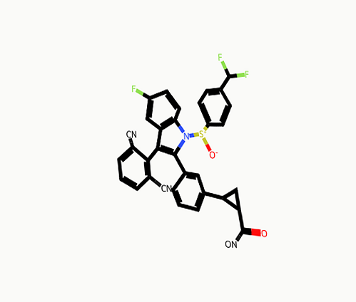 N#Cc1cccc(C#N)c1-c1c(-c2cccc(C3CC3C(=O)N=O)c2)n([S+]([O-])c2ccc(C(F)F)cc2)c2ccc(F)cc12